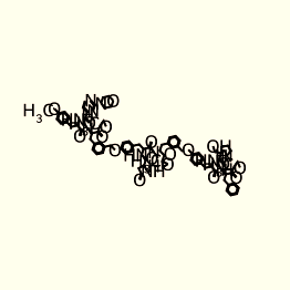 COc1ccc(CC(NC(=O)c2ccnc(N3CCOCC3)n2)C(=O)NC(Cc2cccc(COc3ccc(CC(NC(=O)C4CC(=O)N4)C(=O)NC(Cc4cccc(COc5ccc(CC(NC(=O)C6(CO)CCCN6)C(=O)NC(Cc6ccccc6)C(=O)C6(C)CO6)cc5)c4)C(=O)C4(C)CO4)cc3)c2)C(=O)C2(C)CO2)cc1